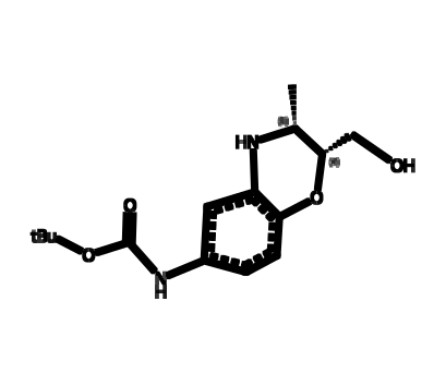 C[C@H]1Nc2cc(NC(=O)OC(C)(C)C)ccc2O[C@H]1CO